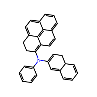 C1=CC2=CC(N(C3=c4ccc5cccc6ccc(c4c65)CC3)c3ccccc3)=CCC2C=C1